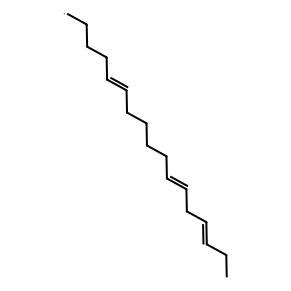 [CH2]CCCC=CCCCCC=CCC=CCC